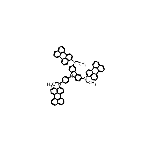 CCN(c1ccc(-n2c3ccc(N(CC)c4ccc5c6cccc7cccc(c8cccc4c85)c76)cc3c3cc(N(CC)c4ccc5c6cccc7cccc(c8cccc4c85)c76)ccc32)cc1)c1ccc2c3cccc4cccc(c5cccc1c52)c43